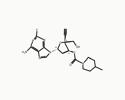 C#C[C@]1(CO)O[C@@H](n2cnc3c(N)nc(F)nc32)C[C@@H]1OC(=O)N1CCC(C)CC1